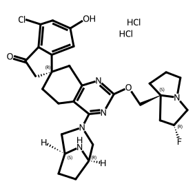 Cl.Cl.O=C1C[C@]2(CCc3c(nc(OC[C@@]45CCCN4C[C@H](F)C5)nc3N3C[C@H]4CC[C@@H](C3)N4)C2)c2cc(O)cc(Cl)c21